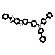 c1ccc(-c2ccc(N(c3ccc(-c4ccccc4)cc3)c3ccc(-c4ccc5c(c4)oc4cc6sc(-c7ccccc7)nc6cc45)cc3)cc2)cc1